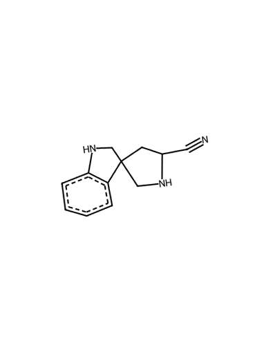 N#CC1CC2(CNc3ccccc32)CN1